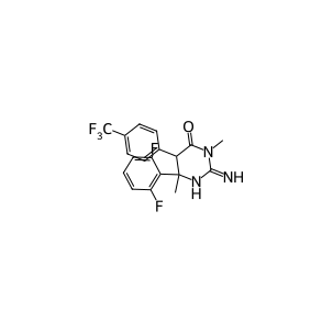 CN1C(=N)NC(C)(c2c(F)cccc2F)C(c2ccc(C(F)(F)F)cc2)C1=O